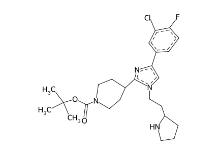 CC(C)(C)OC(=O)N1CCC(c2nc(-c3ccc(F)c(Cl)c3)cn2CCC2CCCN2)CC1